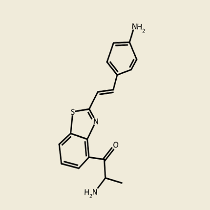 CC(N)C(=O)c1cccc2sc(C=Cc3ccc(N)cc3)nc12